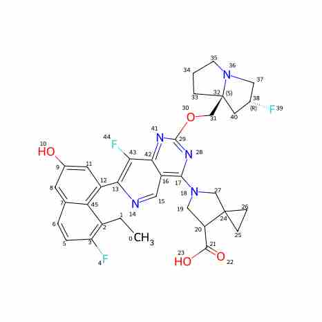 CCc1c(F)ccc2cc(O)cc(-c3ncc4c(N5CC(C(=O)O)C6(CC6)C5)nc(OC[C@@]56CCCN5C[C@H](F)C6)nc4c3F)c12